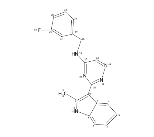 Cc1[nH]c2ccccc2c1-c1nncc(NCc2cccc(F)c2)n1